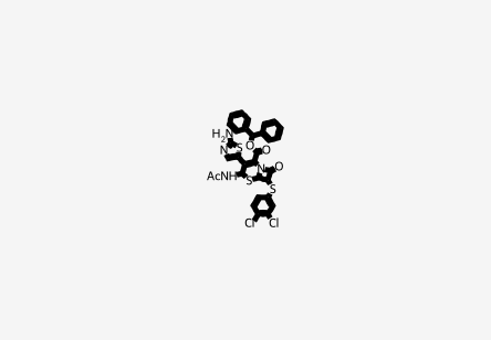 CC(=O)NC1SC2C(Sc3ccc(Cl)c(Cl)c3)C(=O)N2C(C(=O)OC(c2ccccc2)c2ccccc2)=C1c1cnc(N)s1